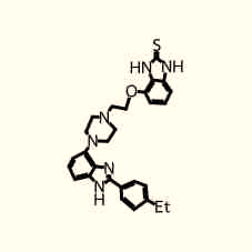 CCc1ccc(-c2nc3c(N4CCN(CCOc5cccc6[nH]c(=S)[nH]c56)CC4)cccc3[nH]2)cc1